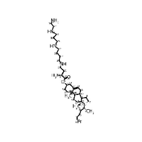 CC(C)CCC[C@@H](C)[C@H]1CCC2C3CC=C4CC(OC(=O)C(N)CCNCCCCNCCCNCCN)CC[C@]4(C)C3CC[C@@]21C